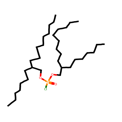 CCCCCCCCCC(CCCCCCC)COP(=O)(Cl)OCC(CCCCCCC)CCCCCCCCC